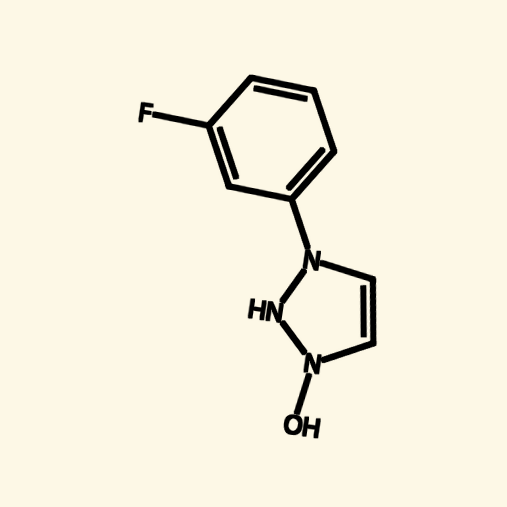 ON1C=CN(c2cccc(F)c2)N1